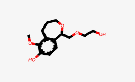 COc1c(O)ccc2c1CCCOC2COCCO